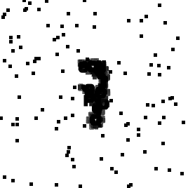 CCOC(=O)[C@H]1CN(CCSc2cnc3ccc(OC)cc3n2)CC[C@H]1NC(=O)OCc1ccccc1